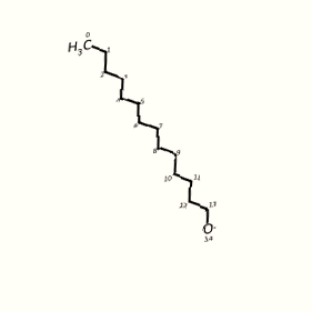 CCCCCCCCCCCCCC[O]